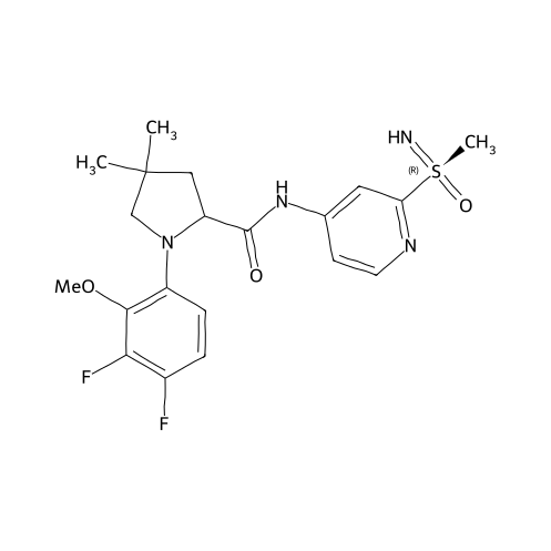 COc1c(N2CC(C)(C)CC2C(=O)Nc2ccnc([S@](C)(=N)=O)c2)ccc(F)c1F